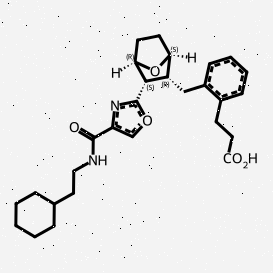 O=C(O)CCc1ccccc1C[C@@H]1[C@H](c2nc(C(=O)NCCC3CCCCC3)co2)[C@H]2CC[C@@H]1O2